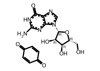 Nc1nc2c(ncn2[C@@H]2O[C@H](CO)[C@@H](O)[C@H]2O)c(=O)[nH]1.O=C1C=CC(=O)C=C1